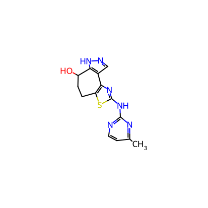 Cc1ccnc(Nc2nc3c(s2)CCC(O)c2[nH]ncc2-3)n1